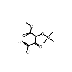 COC(=O)C(O[Si](C)(C)C)C(=O)C(=N)Cl